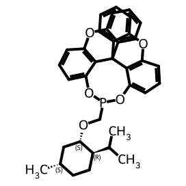 CC(C)[C@H]1CC[C@H](C)C[C@@H]1OCP1Oc2cccc3c2C2(c4ccccc4O3)c3ccccc3Oc3cccc(c32)O1